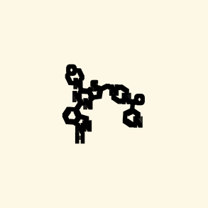 O=C(c1cccnc1)N1CCN(Cc2cc3nc(-c4cccc5[nH]ncc45)nc(N4CCOCC4)c3s2)CC1